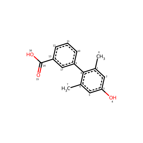 Cc1cc(O)cc(C)c1-c1cccc(C(=O)O)c1